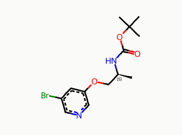 C[C@@H](COc1cncc(Br)c1)NC(=O)OC(C)(C)C